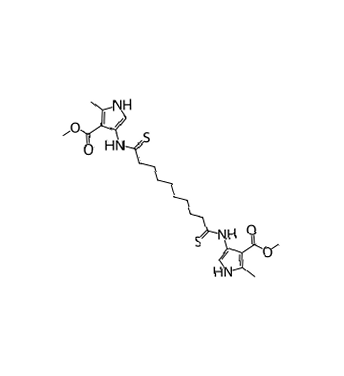 COC(=O)c1c(NC(=S)CCCCCCCCC(=S)Nc2c[nH]c(C)c2C(=O)OC)c[nH]c1C